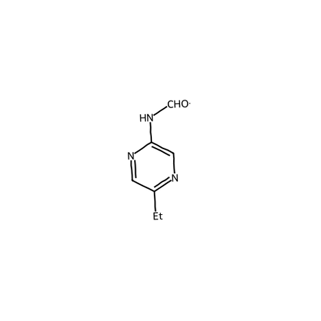 CCc1cnc(N[C]=O)cn1